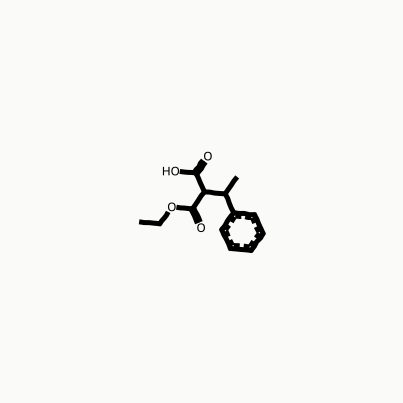 CCOC(=O)C(C(=O)O)C(C)c1ccccc1